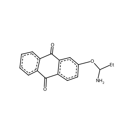 CCC(N)Oc1ccc2c(c1)C(=O)c1ccccc1C2=O